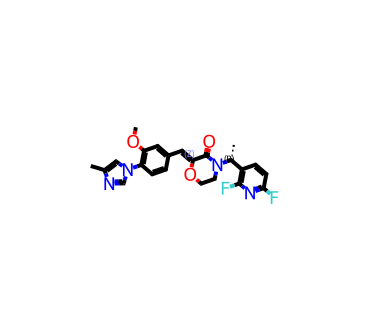 COc1cc(/C=C2\OCCN([C@H](C)c3ccc(F)nc3F)C2=O)ccc1-n1cnc(C)c1